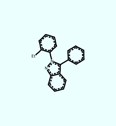 CCc1ccccc1-n1nc2ccccc2c1-c1ccccc1